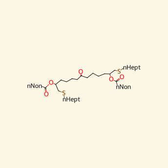 CCCCCCCCCC(=O)OC(CCCCC(=O)CCCCC(CSCCCCCCC)OC(=O)CCCCCCCCC)CSCCCCCCC